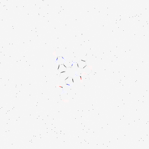 CCOc1cnc2c(-c3nc4cc(F)c(O[C@@H](C)[C@@H](C)OC(=O)Nc5ccc(C(=O)NC[C@H](C)O)nc5)cc4s3)cc(C)cc2n1